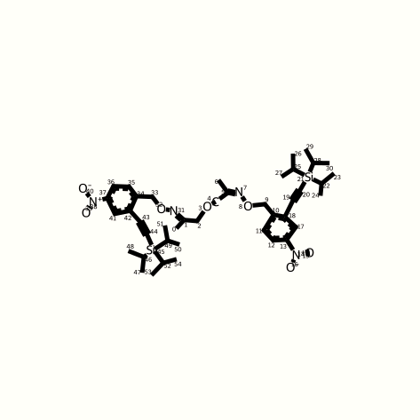 CC(COCC(C)=NOCc1ccc([N+](=O)[O-])cc1C#C[Si](C(C)C)(C(C)C)C(C)C)=NOCc1ccc([N+](=O)[O-])cc1C#C[Si](C(C)C)(C(C)C)C(C)C